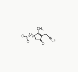 C#CCC1=C(C)[C@H](O[N+](=O)[O-])CC1=O